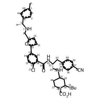 Cc1ccc([C@@H](C)NCc2ccc(-c3ccc(Cl)c(C(=O)N[C@@H](CNC4CCN(C(=O)O)C(C(C)(C)C)C4)Cc4ccc(C#N)cc4)c3)o2)cc1